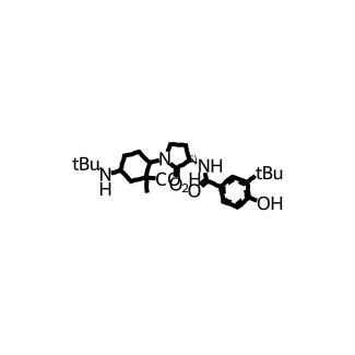 CC(C)(C)NC1CCC(N2CC[C@H](NC(=O)c3ccc(O)c(C(C)(C)C)c3)C2=O)C(C)(C(=O)O)C1